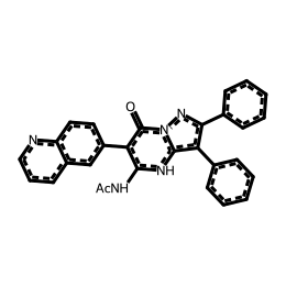 CC(=O)Nc1[nH]c2c(-c3ccccc3)c(-c3ccccc3)nn2c(=O)c1-c1ccc2ncccc2c1